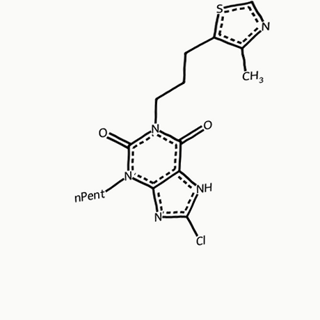 CCCCCn1c(=O)n(CCCc2scnc2C)c(=O)c2[nH]c(Cl)nc21